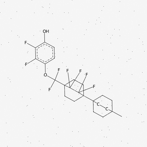 CC12CCC(C34CCC(C(F)(F)Oc5ccc(O)c(F)c5F)(CC3)C(F)(F)C4(F)F)(CC1)CC2